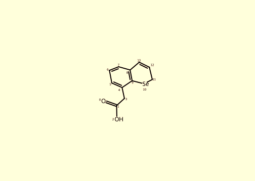 O=C(O)Cc1cccc2c1[Se]CC=C2